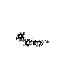 CNC(=O)CN/C=C(\C=N)Nc1ncc(F)c(NCc2c(F)ccc(F)c2F)n1